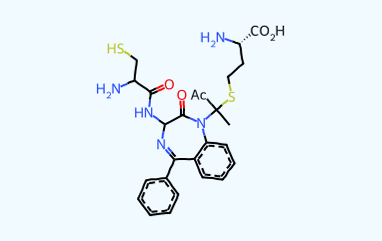 CC(=O)C(C)(SCC[C@H](N)C(=O)O)N1C(=O)C(NC(=O)C(N)CS)N=C(c2ccccc2)c2ccccc21